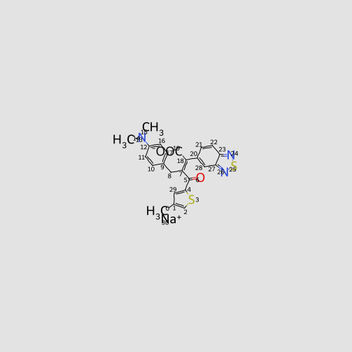 Cc1csc(C(=O)C(Cc2ccc(N(C)C)cc2)=C(C(=O)[O-])c2ccc3nsnc3c2)c1.[Na+]